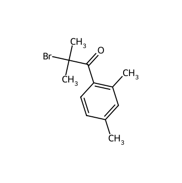 Cc1ccc(C(=O)C(C)(C)Br)c(C)c1